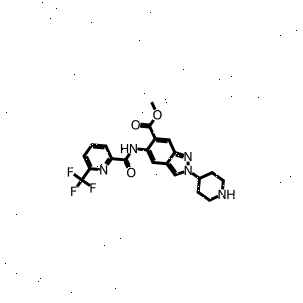 COC(=O)c1cc2nn(C3CCNCC3)cc2cc1NC(=O)c1cccc(C(F)(F)F)n1